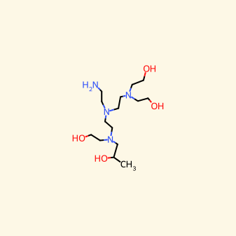 CC(O)CN(CCO)CCN(CCN)CCN(CCO)CCO